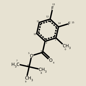 Cc1c(C(=O)OC(C)(C)C)ccc(F)c1F